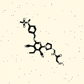 CCc1c(C#N)c(SCc2ccc(N(C)S(C)(=O)=O)cc2)nc(N2CC[C@H](CNC(=O)CN)C2)c1C#N